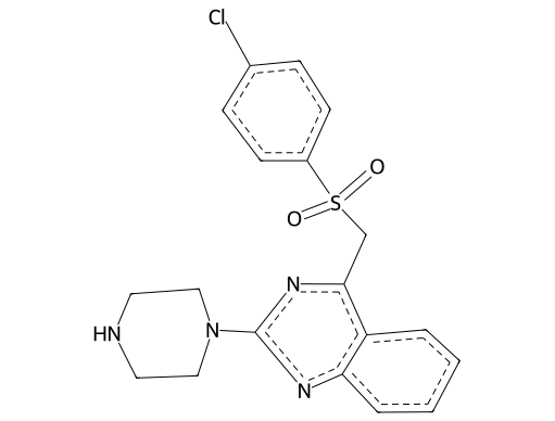 O=S(=O)(Cc1nc(N2CCNCC2)nc2ccccc12)c1ccc(Cl)cc1